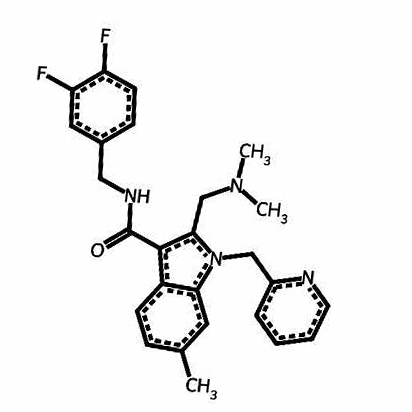 Cc1ccc2c(C(=O)NCc3ccc(F)c(F)c3)c(CN(C)C)n(Cc3ccccn3)c2c1